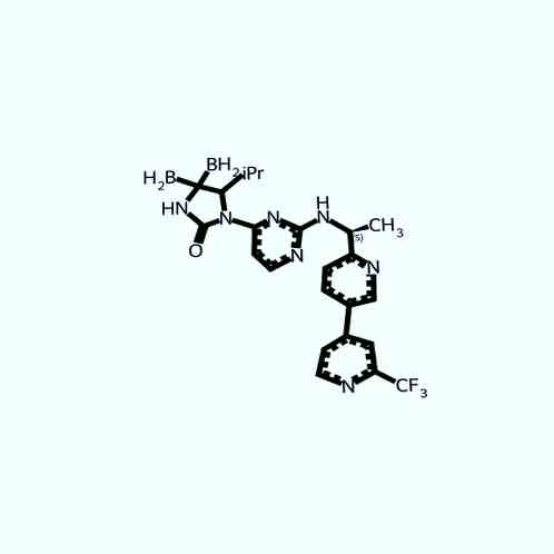 BC1(B)NC(=O)N(c2ccnc(N[C@@H](C)c3ccc(-c4ccnc(C(F)(F)F)c4)cn3)n2)C1C(C)C